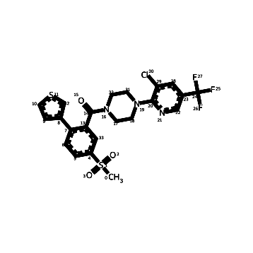 CS(=O)(=O)c1ccc(-c2ccsc2)c(C(=O)N2CCN(c3ncc(C(F)(F)F)cc3Cl)CC2)c1